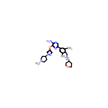 Cc1cc(-c2cnc(N)c(Oc3cnn(C4CCN(C)CC4)c3)n2)cc(C)c1CNSC1CCOCC1